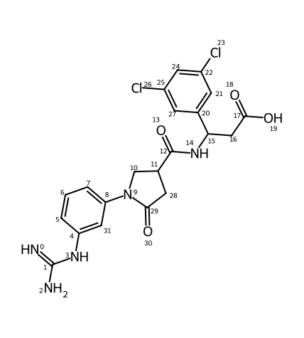 N=C(N)Nc1cccc(N2CC(C(=O)NC(CC(=O)O)c3cc(Cl)cc(Cl)c3)CC2=O)c1